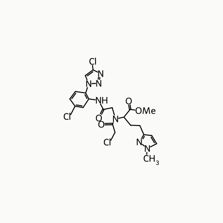 COC(=O)C(CCc1ccn(C)n1)N(CC(=O)Nc1cc(Cl)ccc1-n1cc(Cl)nn1)C(=O)CCl